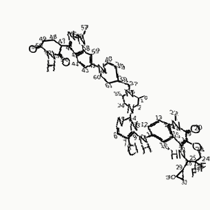 CC1CN(c2ncc(Cl)c(Nc3ccc4c(c3)c3c(c(=O)n4C)OCC(F)(F)C(C4CC4)N3)n2)CCN1CC1CCN(c2ccc3c(C4CCC(=O)NC4=O)nn(C)c3c2)CC1